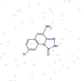 Nc1cc2ccc(Br)cc2n2c(=O)[nH]nc12